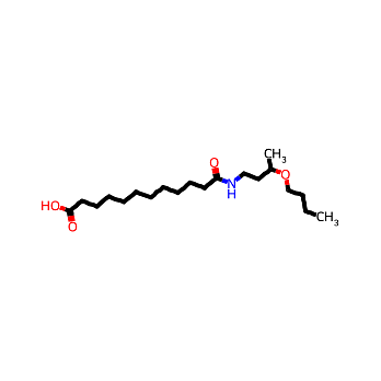 CCCCOC(C)CCNC(=O)CCCCCCCCCCC(=O)O